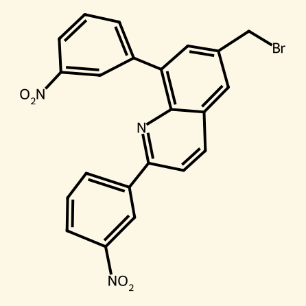 O=[N+]([O-])c1cccc(-c2ccc3cc(CBr)cc(-c4cccc([N+](=O)[O-])c4)c3n2)c1